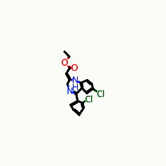 CCOC(=O)C=C1CN=C(c2ccccc2Cl)c2cc(Cl)ccc2N1